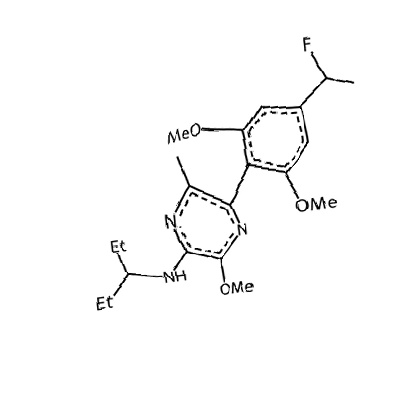 CCC(CC)Nc1nc(C)c(-c2c(OC)cc(C(C)F)cc2OC)nc1OC